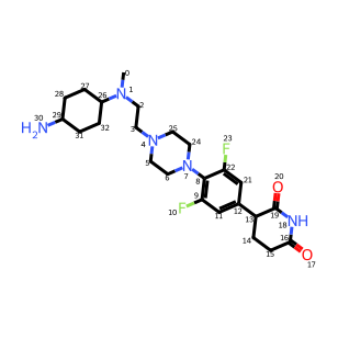 CN(CCN1CCN(c2c(F)cc(C3CCC(=O)NC3=O)cc2F)CC1)C1CCC(N)CC1